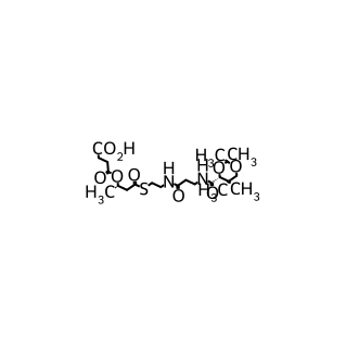 C[C@@H](CC(=O)SCCNC(=O)CCNC(=O)[C@@H]1OC(C)(C)OCC1(C)C)OC(=O)CCC(=O)O